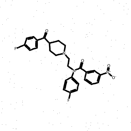 O=C(c1ccc(F)cc1)C1CCN(CCN(C(=O)c2cccc([N+](=O)[O-])c2)c2ccc(F)cc2)CC1